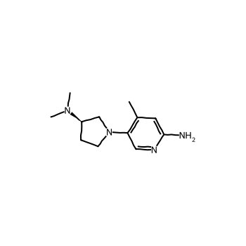 Cc1cc(N)ncc1N1CC[C@@H](N(C)C)C1